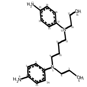 Nc1ccc(N(CCO)CCCCN(CCO)c2ccc(N)cc2)cc1